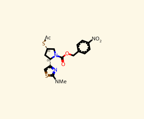 CNc1nc([C@@H]2C[C@H](SC(C)=O)CN2C(=O)OCc2ccc([N+](=O)[O-])cc2)cs1